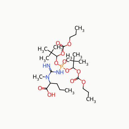 CCCOC(=O)OC(OP(=O)(NC(=N)N(C)C(CCC)C(=O)O)OC(OC(=O)OCCC)C(C)(C)C)C(C)(C)C